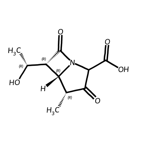 C[C@@H](O)[C@@H]1C(=O)N2C(C(=O)O)C(=O)[C@H](C)[C@H]12